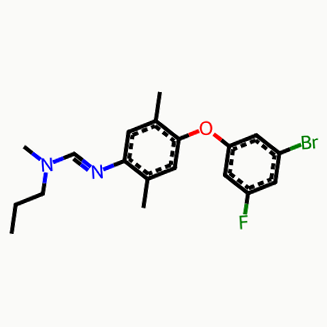 CCCN(C)/C=N/c1cc(C)c(Oc2cc(F)cc(Br)c2)cc1C